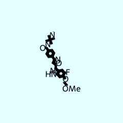 COCCOc1cc2[nH]nc(-c3cc(-c4ccc(C(=O)N5CC6(CN(C)C6)C5)cc4)no3)c2cc1F